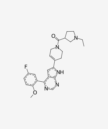 CCN1CCC(C(=O)N2CC=C(c3cc4c(-c5cc(F)ccc5OC)ncnc4[nH]3)CC2)C1